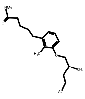 CNC(=O)CCCCc1cccc(OC[C@@H](C)CCC(C)=O)c1C